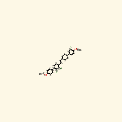 CCCCOc1ccc(C2CCC(/C=C/c3ccc(-c4ccc(OCCC)cc4)c(F)c3F)CC2)cc1F